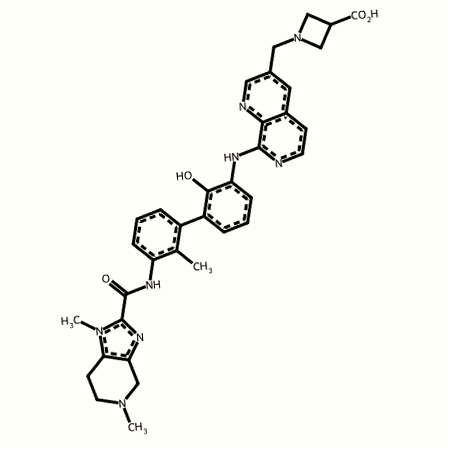 Cc1c(NC(=O)c2nc3c(n2C)CCN(C)C3)cccc1-c1cccc(Nc2nccc3cc(CN4CC(C(=O)O)C4)cnc23)c1O